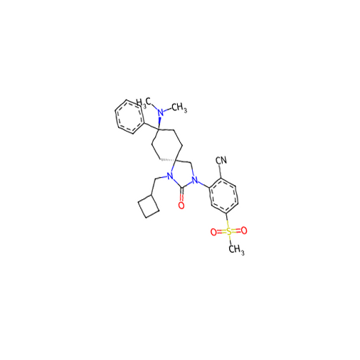 CN(C)[C@]1(c2ccccc2)CC[C@]2(CC1)CN(c1cc(S(C)(=O)=O)ccc1C#N)C(=O)N2CC1CCC1